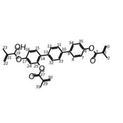 C=C(C)C(=O)Oc1ccc(-c2ccc(-c3ccc(OC(O)C(=C)C)cc3OC(=O)C(=C)C)cc2)cc1